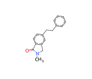 CN1Cc2cc(CCc3ccccc3)ccc2C1=O